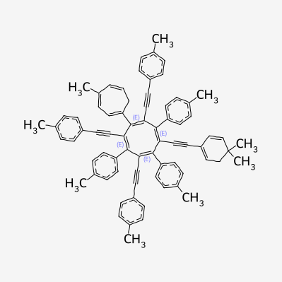 CC1=CC=C(C2=C(C#Cc3ccc(C)cc3)/C(c3ccc(C)cc3)=C(C#CC3=CCC(C)(C)C=C3)\C(c3ccc(C)cc3)=C(C#Cc3ccc(C)cc3)/C(c3ccc(C)cc3)=C\2C#Cc2ccc(C)cc2)CC=C1